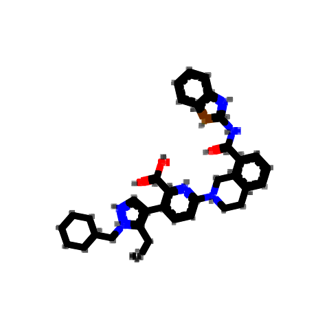 CCc1c(-c2ccc(N3CCc4cccc(C(=O)Nc5nc6ccccc6s5)c4C3)nc2C(=O)O)cnn1CC1CCCCC1